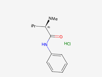 CN[C@@H](C(=O)Nc1ccccc1)C(C)C.Cl